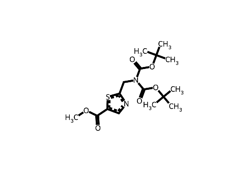 COC(=O)c1cnc(CN(C(=O)OC(C)(C)C)C(=O)OC(C)(C)C)s1